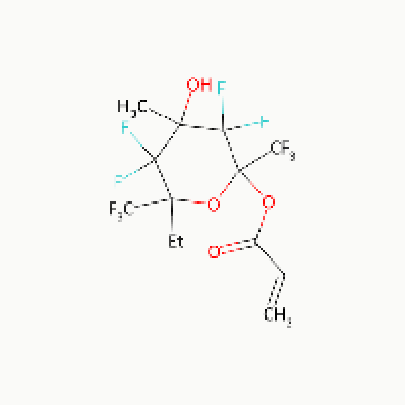 C=CC(=O)OC1(C(F)(F)F)OC(CC)(C(F)(F)F)C(F)(F)C(C)(O)C1(F)F